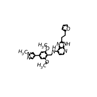 COc1cc(-c2cnn(C)c2)cc(OC)c1CNc1ccnc2[nH]c(CCc3ccco3)nc12